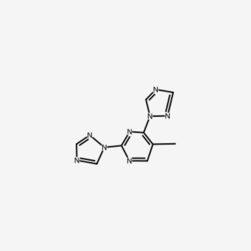 Cc1cnc(-n2cncn2)nc1-n1cncn1